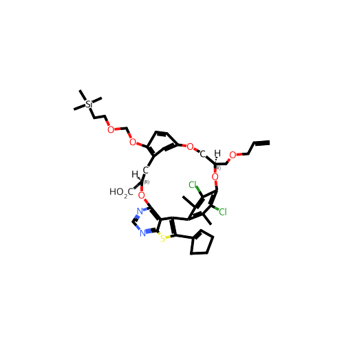 C=CCOC[C@@H]1COc2ccc(OCOCC[Si](C)(C)C)c(c2)C[C@H](C(=O)O)Oc2ncnc3sc(C4=CCCC4)c(c23)-c2c(C)c(Cl)c(c(Cl)c2C)O1